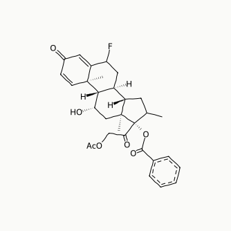 CC(=O)OCC(=O)[C@]1(OC(=O)c2ccccc2)C(C)C[C@H]2[C@@H]3CC(F)C4=CC(=O)C=C[C@]4(C)[C@H]3[C@@H](O)C[C@@]21C